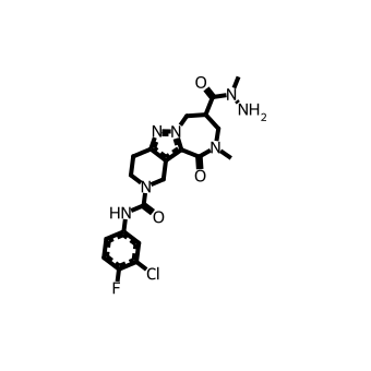 CN(N)C(=O)C1CN(C)C(=O)c2c3c(nn2C1)CCN(C(=O)Nc1ccc(F)c(Cl)c1)C3